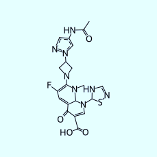 CC(=O)Nc1cnn(C2CN(C3=C(F)C=C4C(=O)C(C(=O)O)=CN(C5NC=NS5)C4N3C)C2)c1